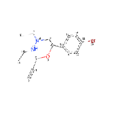 C#CCOC(CN(CC)NCC)c1ccc(Br)cc1